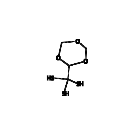 SC(S)(S)C1OCOCO1